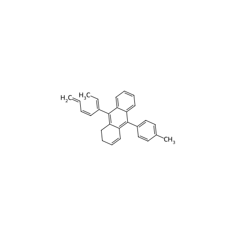 C=C/C=C\C(=C/C)c1c2c(c(-c3ccc(C)cc3)c3ccccc13)C=CCC2